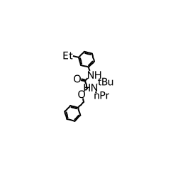 CCCNC(C)(C)C.CCc1cccc(NC(=O)COCc2ccccc2)c1